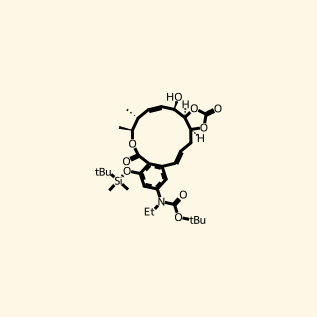 CCN(C(=O)OC(C)(C)C)c1cc2c(c(O[Si](C)(C)C(C)(C)C)c1)C(=O)O[C@@H](C)[C@H](C)/C=C\[C@@H](O)[C@H]1OC(=O)O[C@H]1C/C=C/2